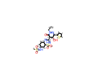 CC(C)Cn1nc(-c2cccs2)c(O)c(C2=Nc3ccc(NS(C)(=O)=O)cc3S(=O)(=O)N2)c1=O